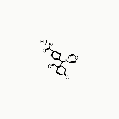 COC(=O)c1ccc(C(C2=C(C=O)C=CC(=O)C2)N2C=COC=C2)cc1